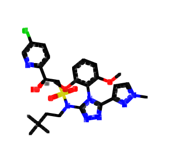 COc1cccc(OC)c1-n1c(-c2ccn(C)n2)nnc1N(CC[Si](C)(C)C)S(=O)(=O)C[C@@H](O)c1ccc(Cl)cn1